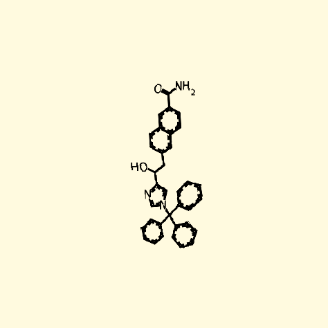 NC(=O)c1ccc2cc(CC(O)c3cn(C(c4ccccc4)(c4ccccc4)c4ccccc4)cn3)ccc2c1